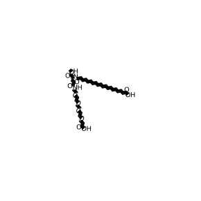 COC(=O)[C@H](CCC(=O)NCCOCCOCCOCCOCCC(=O)O)NC(=O)CCCCCCCCCCCCCCCCCCC(=O)O